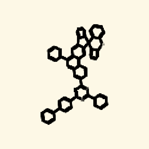 c1ccc(-c2ccc(-c3nc(-c4ccccc4)nc(-c4ccc5c(c4)nc(-c4ccccc4)c4cc6c(cc45)C4(c5ccccc5Oc5ccccc54)c4ccccc4-6)n3)cc2)cc1